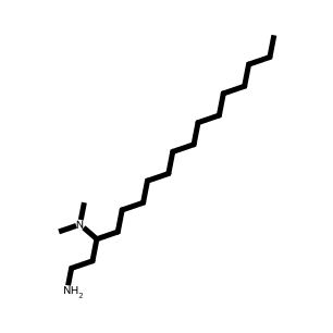 CCCCCCCCCCCCCCC(CCN)N(C)C